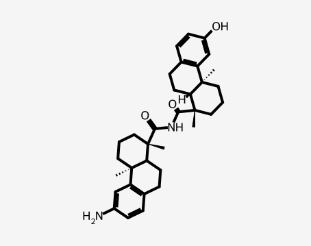 C[C@]1(C(=O)NC(=O)[C@@]2(C)CCC[C@]3(C)c4cc(O)ccc4CC[C@@H]23)CCC[C@]2(C)c3cc(N)ccc3CCC12